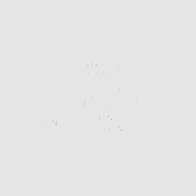 CCCCC(CC)CC(CC(CC)CCCC)(C(=O)O)C(C(=O)O)S(=O)(=O)O.NCCO.NCCO.NCCO